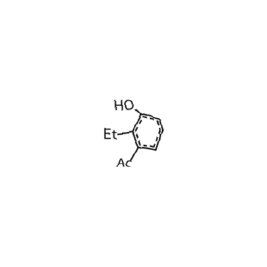 CCc1c(O)cccc1C(C)=O